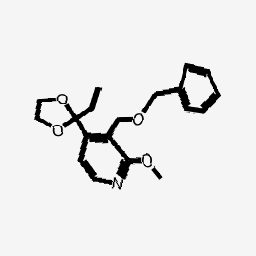 CCC1(c2ccnc(OC)c2COCc2ccccc2)OCCO1